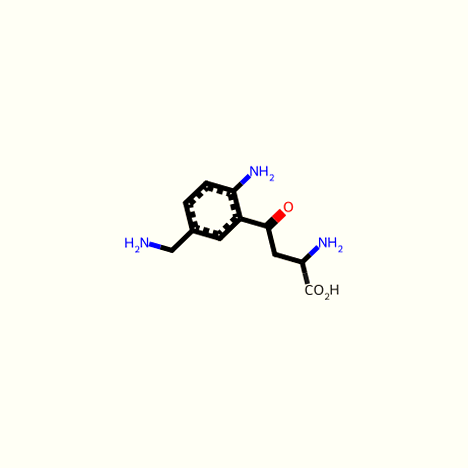 NCc1ccc(N)c(C(=O)CC(N)C(=O)O)c1